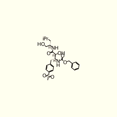 CC(C)C[C@@H](CO)NC(=O)[C@@H](O)[C@@H](Cc1ccc(S(C)(=O)=O)cc1)NC(=O)OCc1ccccc1